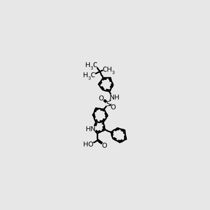 CC(C)(C)c1ccc(NS(=O)(=O)c2ccc3[nH]c(C(=O)O)c(-c4ccccc4)c3c2)cc1